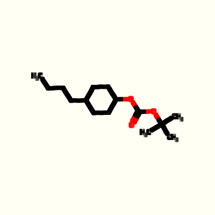 CCCCC1CCC(OC(=O)OC(C)(C)C)CC1